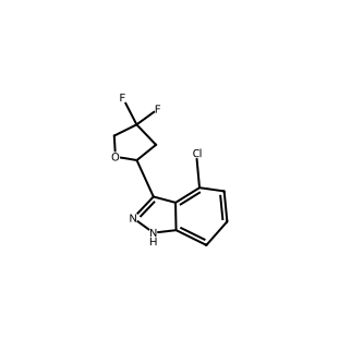 FC1(F)COC(c2n[nH]c3cccc(Cl)c23)C1